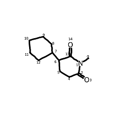 CN1C(=O)CCC(C2CCCCC2)C1=O